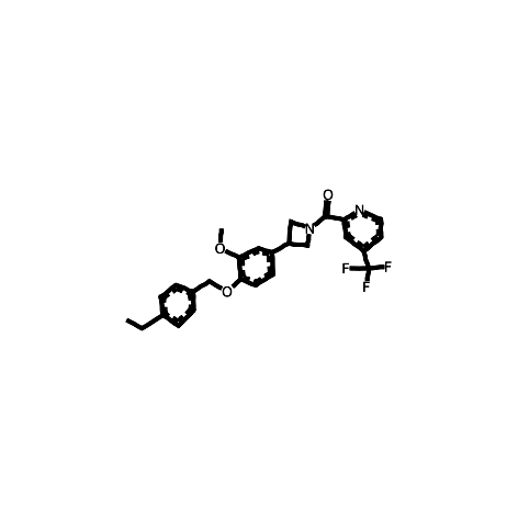 CCc1ccc(COc2ccc(C3CN(C(=O)c4cc(C(F)(F)F)ccn4)C3)cc2OC)cc1